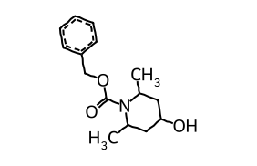 CC1CC(O)CC(C)N1C(=O)OCc1ccccc1